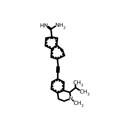 CC(C)C1c2cc(C#Cc3ccc4cc(C(=N)N)ccc4c3)ccc2CCN1C